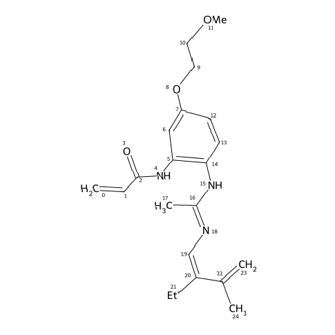 C=CC(=O)Nc1cc(OCCOC)ccc1N/C(C)=N/C=C(/CC)C(=C)C